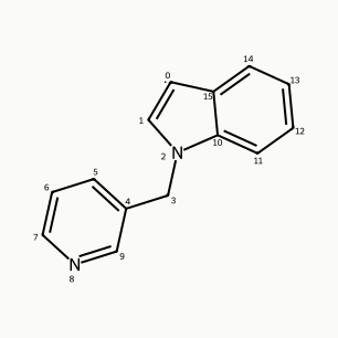 [c]1cn(Cc2cccnc2)c2ccccc12